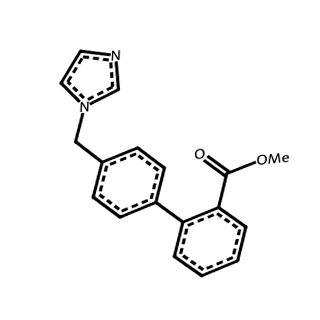 COC(=O)c1ccccc1-c1ccc(Cn2ccnc2)cc1